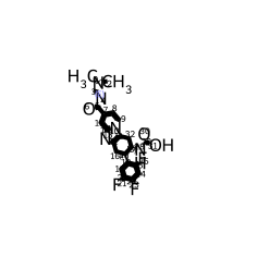 CN(C)/C=N/C(=O)c1ccn2c3c(nc2c1)C[C@H](c1cc(F)c(F)cc1F)[C@@H](NC(=O)O)C3